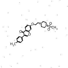 Cc1ccc(-c2coc3cc(OCCN4CCN(S(C)(=O)=O)CC4)ccc3c2=O)cc1